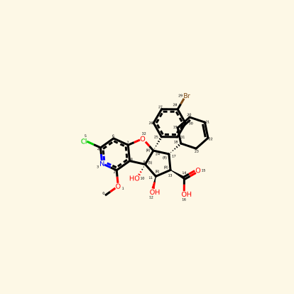 COc1nc(Cl)cc2c1[C@]1(O)[C@H](O)[C@H](C(=O)O)[C@@H](C3C=CC=CC3)[C@]1(c1ccc(Br)cc1)O2